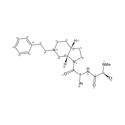 CC[C@H](NC)C(=O)NC(C(=O)N1CC[C@H]2CCN(CCc3ccccc3)C[C@H]21)C(C)C